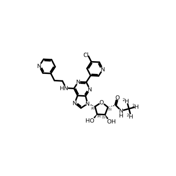 [2H]C([2H])([2H])NC(=O)[C@H]1O[C@@H](n2cnc3c(NCCc4cccnc4)nc(-c4cncc(Cl)c4)nc32)[C@H](O)[C@@H]1O